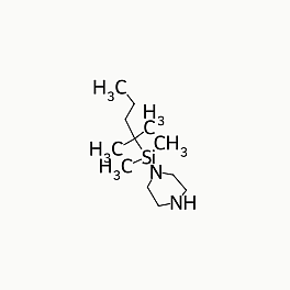 CCCC(C)(C)[Si](C)(C)N1CCNCC1